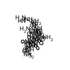 CSCC[C@H](NC(=O)[C@@H](Cc1c[nH]c2ccccc12)NC(=O)[C@@H](Cc1c[nH]c2ccccc12)NC(=O)[C@H](Cc1ccccc1)NC(=O)[C@@H](Cc1c[nH]c2ccccc12)NC(=O)[C@H](CCC(N)=O)NC(=O)[C@H](CCC(N)=O)NC(=O)[C@@H]1CCCN1C(=O)[C@H](CCCCN)NC(=O)[C@@H]1CCCN1C(=O)[C@@H](N)CCCNC(=N)N)C(N)=O